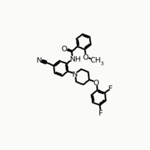 COc1ccccc1C(=O)Nc1cc(C#N)ccc1N1CCC(Oc2ccc(F)cc2F)CC1